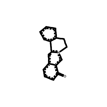 O=c1cccc2cc3n(cc1-2)CCc1ccccc1-3